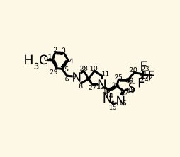 Cc1cccc(CN2CC3(CCN(c4ncnc5sc(CC(F)(F)F)cc45)C3)C2)c1